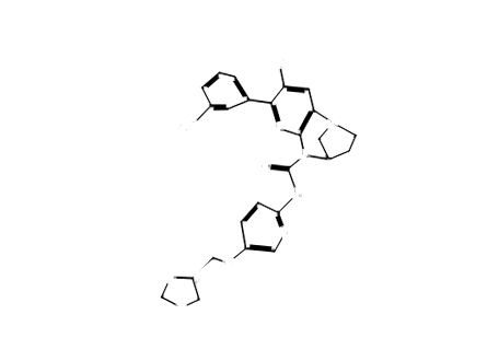 O=C(Nc1ccc(OC[C@H]2COCO2)cn1)N1c2nc(-c3cccc(C(F)(F)F)c3)c(Cl)cc2N2CCC1C2